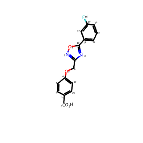 O=C(O)c1ccc(OCc2noc(-c3cccc(F)c3)n2)cc1